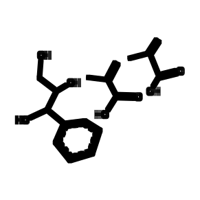 C=C(C)C(=O)O.C=C(C)C(=O)O.OCC(O)C(O)c1ccccc1